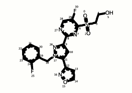 O=S(=O)(CCO)c1nc(-c2cc(-c3ccon3)n(Cc3ccccc3F)n2)ncc1F